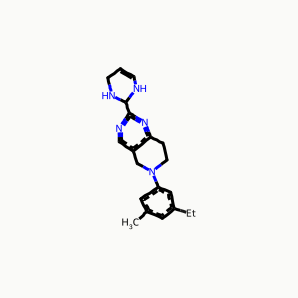 CCc1cc(C)cc(N2CCc3nc(C4NC=CCN4)ncc3C2)c1